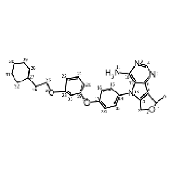 CC1OCc2c1c1ncnc(N)c1n2-c1ccc(Oc2cccc(OCCC3CCCCC3)c2)cc1